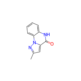 Cc1cc2c(=O)[nH]c3ccccc3n2n1